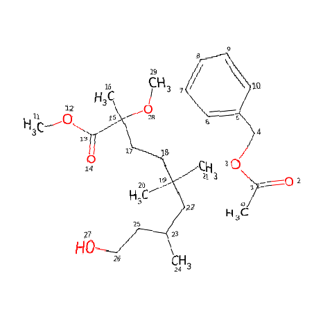 CC(=O)OCc1ccccc1.COC(=O)C(C)(CCC(C)(C)CC(C)CCO)OC